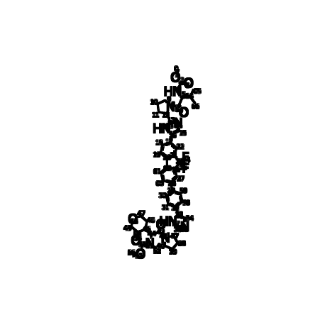 COC(=O)N[C@H](C(=O)N1CCC[C@H]1c1ncc(-c2ccc3c(c2)C(F)(F)c2cc(-c4ccc(-c5cnc([C@@H]6CCCN6C(=O)C(C6CCOCC6)N(C)C(=O)OC)[nH]5)cc4)ccc2-3)[nH]1)C(C)C